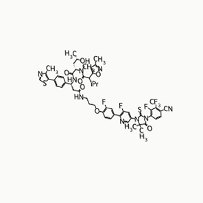 Cc1cc(C(C(=O)N(C)[C@@H](C[C@H](C)O)C(=O)N[C@@H](CC(=O)NCCCOc2ccc(-c3ncc(N4C(=S)N(c5ccc(C#N)c(C(F)(F)F)c5F)C(=O)C4(C)C)cc3F)cc2F)c2ccc(-c3scnc3C)cc2)C(C)C)on1